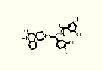 CN(C[C@@H](CCN1CCC2(CC1)CC(=O)N(C)C1C=CC=CC12)c1ccc(Cl)c(Cl)c1)C(=O)c1cc(Cl)cc(Cl)c1